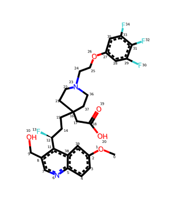 COc1ccc2ncc(CO)c([C@@H](F)CCC3(CC(=O)O)CCN(CCOc4cc(F)c(F)c(F)c4)CC3)c2c1